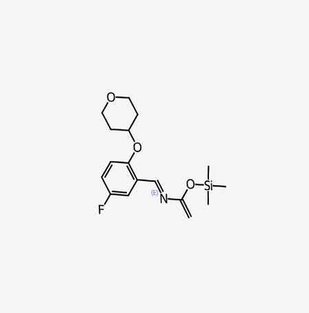 C=C(/N=C/c1cc(F)ccc1OC1CCOCC1)O[Si](C)(C)C